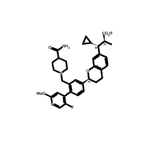 COc1cc(-c2ccc([C@@H]3CCc4ccc([C@H](C5CC5)[C@H](C)C(=O)O)cc4O3)cc2CN2CCC(C(N)=O)CC2)c(F)cn1